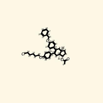 CC(=O)O[C@H]1CC[C@H]2CC(c3ccc(OCc4ccccc4)cc3)=C(c3ccc(OCCCCCCl)cc3)C[C@@]21C